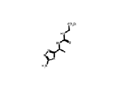 CCOC(=O)CNC(=O)NC(C)c1nnc(N)s1